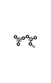 N#Cc1cccc(-c2cc(-c3ccccc3)nc(-c3cccc(-c4ccc(-c5nc(-c6ccccc6)nc(-c6ccccc6)n5)cc4)c3)n2)c1